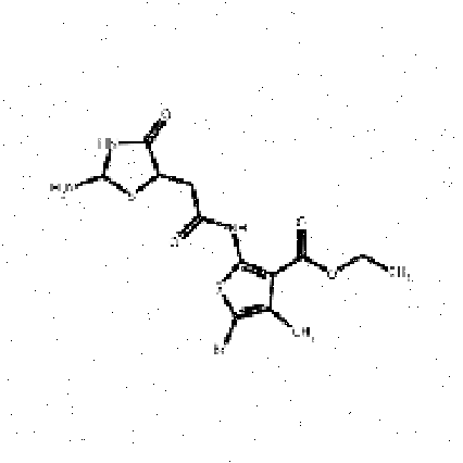 CCOC(=O)c1c(NC(=O)CC2SC(N)NC2=O)sc(Br)c1C